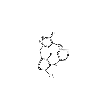 Cc1ccc(Cc2cc(C)c(=O)[nH]n2)c(F)c1Oc1cccnc1